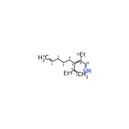 C=CCCC/C(C(=C)CC)=C(/C=N)CC